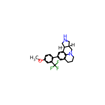 COc1ccc(-c2cc3c4c(c2)[C@H]2CNC[C@@H]2CN4CCC3)c(C(F)(F)F)c1